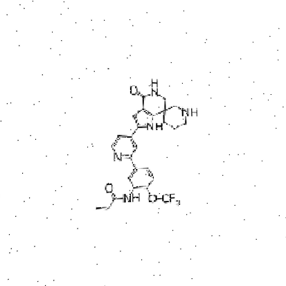 C=CC(=O)Nc1cc(-c2cc(-c3cc4c([nH]3)C3(CCCNC3)CNC4=O)ccn2)ccc1OC(F)(F)F